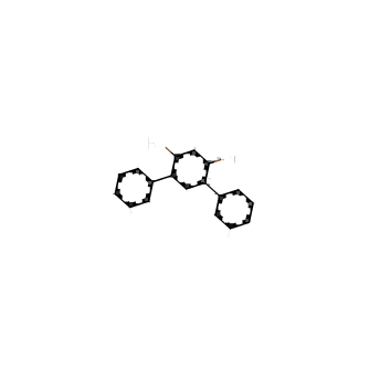 Brc1cc(Br)c(-c2ccccc2)cc1-c1ccccc1